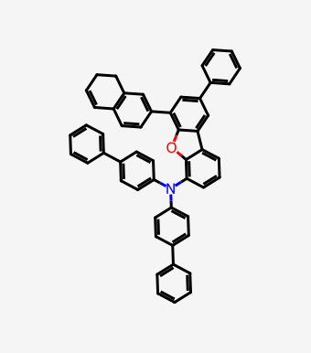 C1=Cc2ccc(-c3cc(-c4ccccc4)cc4c3oc3c(N(c5ccc(-c6ccccc6)cc5)c5ccc(-c6ccccc6)cc5)cccc34)cc2CC1